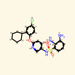 Nc1cccc(S(=O)(=O)Nc2ccc(Oc3ccc(Cl)cc3C3CCCCC3)nc2)c1NO